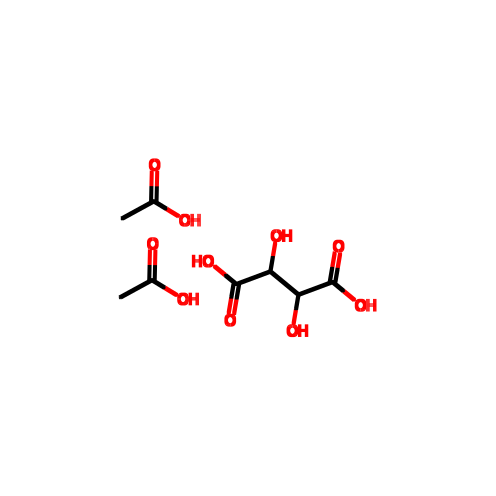 CC(=O)O.CC(=O)O.O=C(O)C(O)C(O)C(=O)O